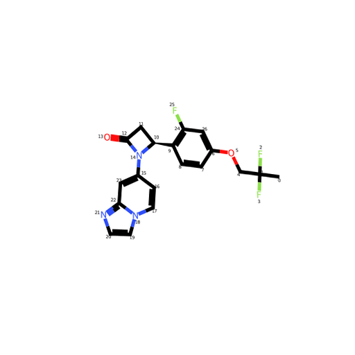 CC(F)(F)COc1ccc([C@@H]2CC(=O)N2c2ccn3ccnc3c2)c(F)c1